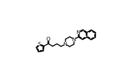 O=C(CCCN1CCN(c2cc3ccccc3cn2)CC1)c1cccs1